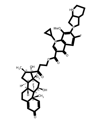 COc1c(N2CC3CCCNC3C2)c(F)cc2c(=O)c(C(=O)OC[CH]C(=O)[C@]3(O)[C@H](C)C[C@@H]4[C@H]5CCC6=CC(=O)C=C[C@@]6(C)[C@]5(F)[C@H](O)C[C@]43C)cn(C3CC3)c12